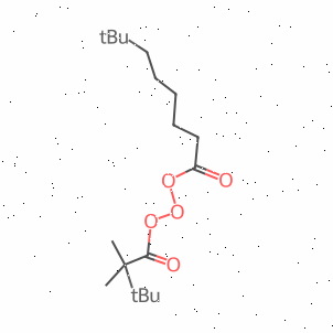 CC(C)(C)CCCCCC(=O)OOOC(=O)C(C)(C)C(C)(C)C